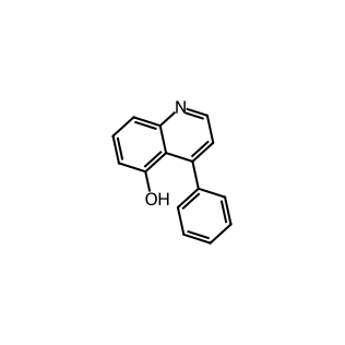 Oc1cccc2nccc(-c3ccccc3)c12